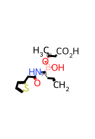 C=CC[C@H](NC(=O)Cc1cccs1)B(O)O[C@H](C)CC(=O)O